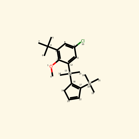 COc1c(C(C)(C)C)cc(Cl)cc1[Si](C)(C)C1=C([Si](C)(C)C)C=CC1